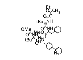 CCOC(C)OC(=O)N[C@H](C(=O)N[C@@H](Cc1ccccc1)[C@H](CN(Cc1ccc(-c2ccccn2)cc1)NC(=O)[C@H](NC(=O)OC)C(C)(C)C)OC)C(C)(C)C